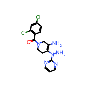 NC1=C(N(N)c2ncccn2)CCN(C(=O)c2ccc(Cl)cc2Cl)C1